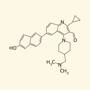 CN(C)CC1CCN(c2c(C=O)c(C3CC3)nc3ccc(-c4ccc5cc(O)ccc5c4)cc23)CC1